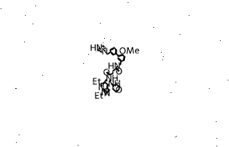 CCc1nc2c(cnn2CC)c(NC2CCOCC2)c1CNC(=O)CCC(=O)NCc1ccc(OC)c(-c2cccc(CN3C[C@@H](C)N[C@@H](C)C3)c2)c1